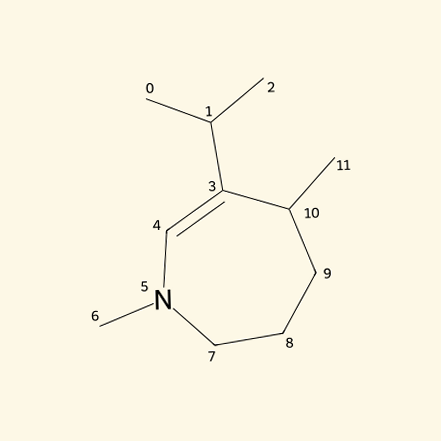 CC(C)C1=CN(C)CCCC1C